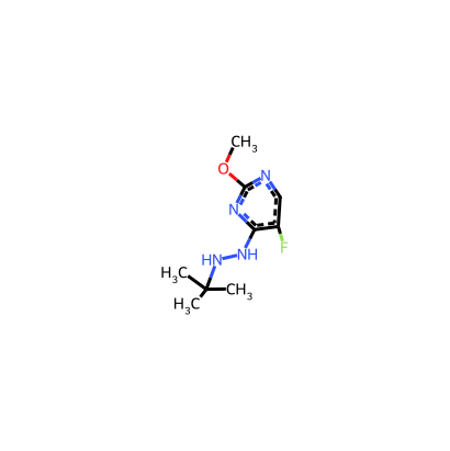 COc1ncc(F)c(NNC(C)(C)C)n1